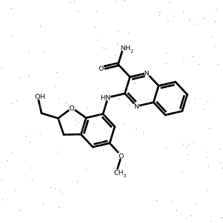 COc1cc2c(c(Nc3nc4ccccc4nc3C(N)=O)c1)OC(CO)C2